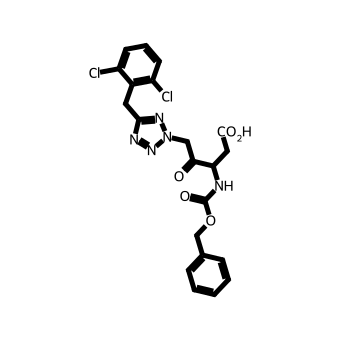 O=C(O)CC(NC(=O)OCc1ccccc1)C(=O)Cn1nnc(Cc2c(Cl)cccc2Cl)n1